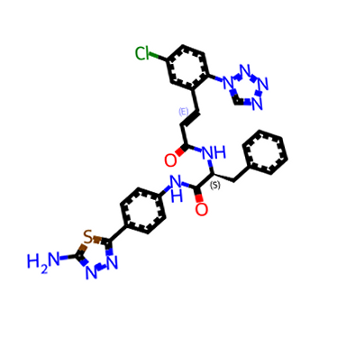 Nc1nnc(-c2ccc(NC(=O)[C@H](Cc3ccccc3)NC(=O)/C=C/c3cc(Cl)ccc3-n3cnnn3)cc2)s1